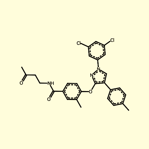 CC(=O)CCNC(=O)c1ccc(Oc2nn(-c3cc(Cl)cc(Cl)c3)cc2-c2ccc(C)cc2)c(C)c1